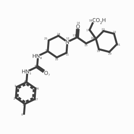 Cc1ccc(NC(=O)NC2CCN(C(=O)CC3(CC(=O)O)CCCCC3)CC2)cc1